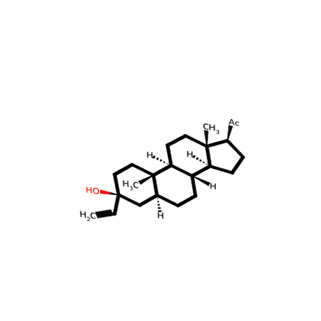 C=C[C@]1(O)CC[C@@]2(C)[C@@H](CC[C@@H]3[C@@H]2CC[C@]2(C)[C@@H](C(C)=O)CC[C@@H]32)C1